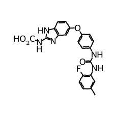 Cc1ccc(F)c(NC(=O)Nc2ccc(Oc3ccc4[nH]c(NC(=O)O)nc4c3)cc2)c1